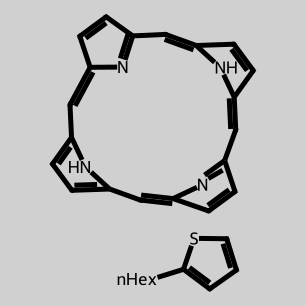 C1=Cc2cc3ccc(cc4nc(cc5ccc(cc1n2)[nH]5)C=C4)[nH]3.CCCCCCc1cccs1